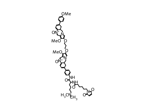 COc1ccc(C2=CC=C3C(C2)Cn2cc(OCCCOc4cn5c(c4OC)C=[N+]([O-])C4=CC=C(c6ccc(NC(=O)C(CCCCN(C)C)NC(=O)CCCCCN7C(=O)C=CC7=O)cc6)CC4C5)c(OC)c2C=[N+]3[O-])cc1